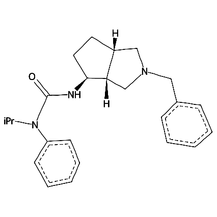 CC(C)N(C(=O)N[C@H]1CC[C@@H]2CN(Cc3ccccc3)C[C@@H]21)c1ccccc1